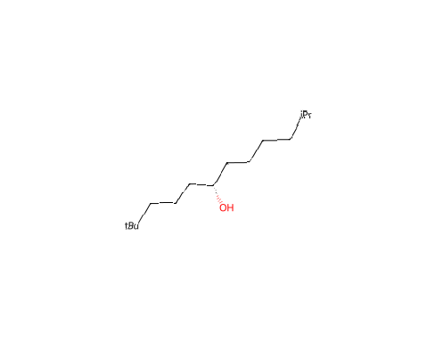 CC(C)CCCC[C@H](O)CCCC(C)(C)C